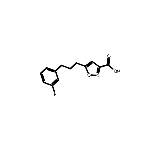 O=C(O)c1cc(CCCc2cccc(F)c2)on1